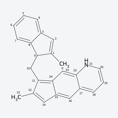 CC1=Cc2ccccc2C1Cc1c(C)cc2cc3ccc[nH]c3cc12